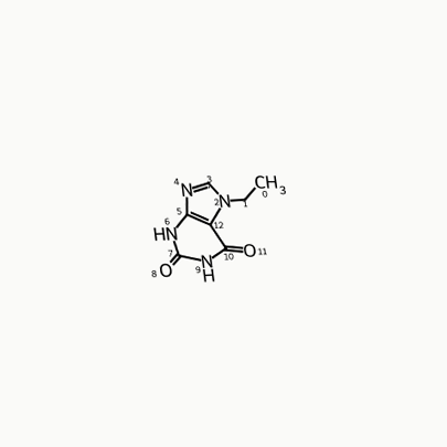 CCn1[c]nc2[nH]c(=O)[nH]c(=O)c21